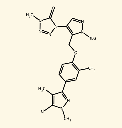 Cc1cc(-c2nn(C)c(Cl)c2C)ccc1OCc1c(-n2nnn(C)c2=O)cnn1C(C)(C)C